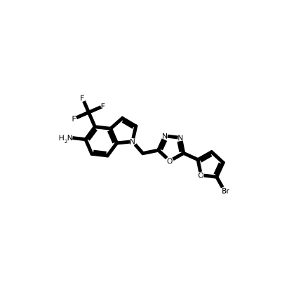 Nc1ccc2c(ccn2Cc2nnc(-c3ccc(Br)o3)o2)c1C(F)(F)F